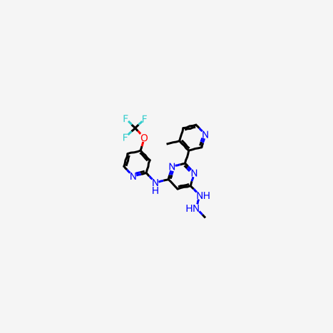 CNNc1cc(Nc2cc(OC(F)(F)F)ccn2)nc(-c2cnccc2C)n1